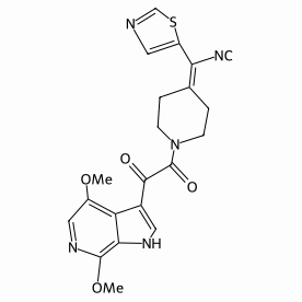 [C-]#[N+]C(=C1CCN(C(=O)C(=O)c2c[nH]c3c(OC)ncc(OC)c23)CC1)c1cncs1